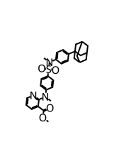 COC(=O)c1cccnc1N(C)c1ccc(S(=O)(=O)N(C)c2ccc(C34CC5CC(CC(C5)C3)C4)cc2)cc1